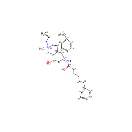 C=CC[N@@+]1(C)CC[C@@]2(c3cccc(OC)c3)C[C@H](NC(=O)CCCCCc3ccccc3)CC(O)C2C1